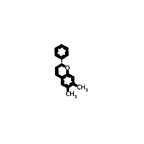 Cc1cc2c(cc1C)O[C@@H](c1ccccc1)C=C2